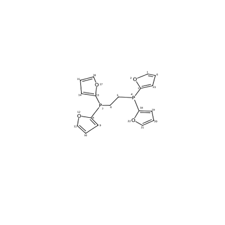 c1coc(P(CCP(c2ccco2)c2ccco2)c2ccco2)c1